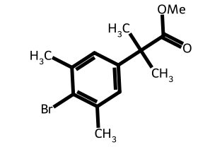 COC(=O)C(C)(C)c1cc(C)c(Br)c(C)c1